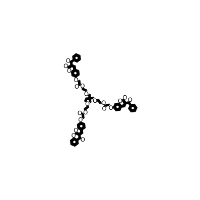 CCC(COCCOC(=O)COc1ccc2cc(C(=O)c3ccccc3)c(=O)oc2c1)(COCCOC(=O)COc1ccc2cc(C(=O)c3ccccc3)c(=O)oc2c1)COCCOC(=O)COc1ccc2cc(C(=O)c3ccccc3)c(=O)oc2c1